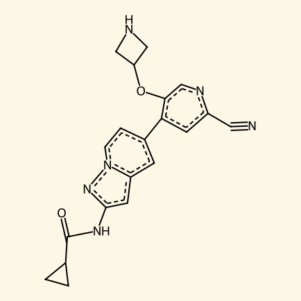 N#Cc1cc(-c2ccn3nc(NC(=O)C4CC4)cc3c2)c(OC2CNC2)cn1